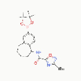 CC(C)(C)c1noc(C(=O)NC2CCCCc3cc(B4OC(C)(C)C(C)(C)O4)ccc32)n1